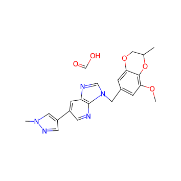 COc1cc(Cn2cnc3cc(-c4cnn(C)c4)cnc32)cc2c1OC(C)CO2.O=CO